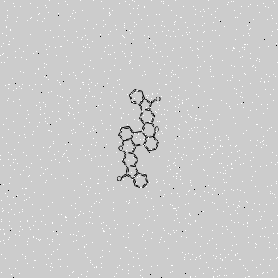 O=c1c2ccccc2c2cc3c(cc12)oc1cccc2c1c3c1cccc3oc4cc5c(=O)c6ccccc6c5cc4c2c31